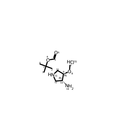 CC(C)(C)OC=O.CO[C@@H]1CNC[C@H]1N.Cl